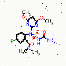 COc1cc(OC)nc(N(c2ccc(F)cc2C(=O)N(C)C)S(=O)(=O)NC(N)=O)n1